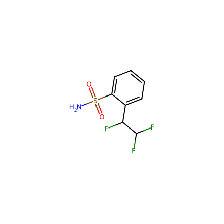 NS(=O)(=O)c1ccccc1C(F)C(F)F